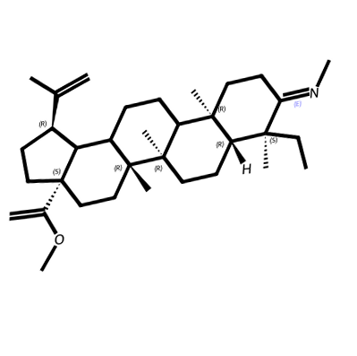 C=C(C)[C@@H]1CC[C@]2(C(=C)OC)CC[C@]3(C)C(CCC4[C@@]5(C)CC/C(=N\C)[C@@](C)(CC)[C@@H]5CC[C@]43C)C12